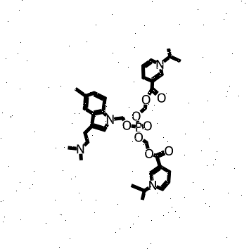 Cc1ccc2c(c1)c(CCN(C)C)cn2COP(=O)(OCOC(=O)C1=CN(C(C)C)C=CC1)OCOC(=O)C1=CN(C(C)C)C=CC1